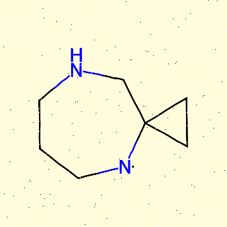 C1C[N]C2(CC2)CNC1